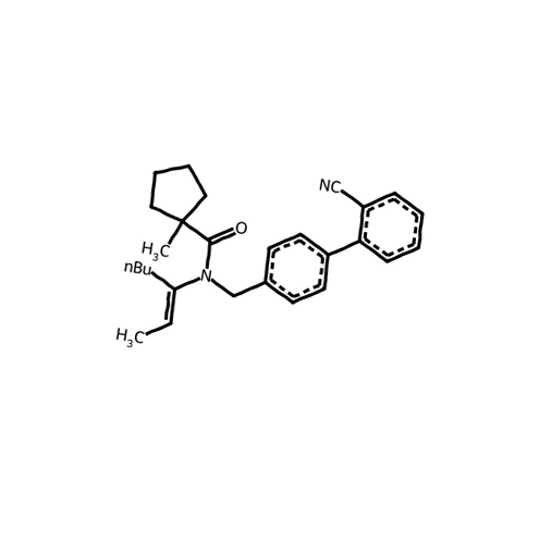 CC=C(CCCC)N(Cc1ccc(-c2ccccc2C#N)cc1)C(=O)C1(C)CCCC1